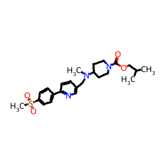 CC(C)COC(=O)N1CCC(N(C)Cc2ccc(-c3ccc(S(C)(=O)=O)cc3)nc2)CC1